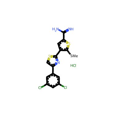 CSc1sc(C(=N)N)cc1-c1nc(-c2cc(Cl)cc(Cl)c2)cs1.Cl